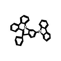 c1ccc(-c2c3ccc(-n4c5ccccc5c5ccccc54)cc3n3c4ccccc4c4ccccc4c23)cc1